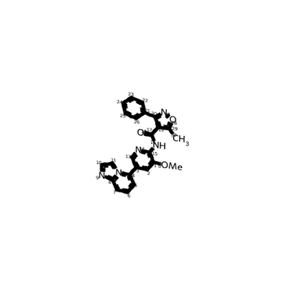 COc1cc(-c2cccc3nccn23)cnc1NC(=O)c1c(-c2ccccc2)noc1C